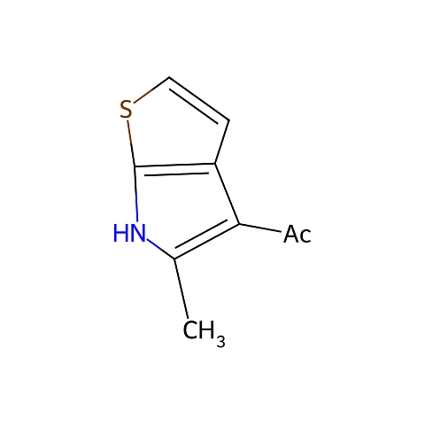 CC(=O)c1c(C)[nH]c2sccc12